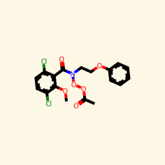 COc1c(Cl)ccc(Cl)c1C(=O)N(CCOc1ccccc1)OOC(C)=O